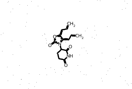 C=C/C=c1/oc(=O)n(C2CCC(=O)NC2=O)/c1=C/C=C